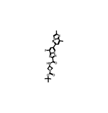 Cc1cn2nc(-c3cc(F)c4nc(C(=O)NC5CN(C(=O)OC(C)(C)C)C5)nn4c3)cc(C)c2n1